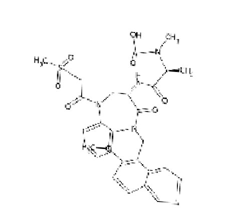 COc1ccc2ccccc2c1CN1C(=O)[C@@H](NC(=O)[C@H](C)N(C)C(=O)O)CN(C(=O)CS(C)(=O)=O)c2ccccc21